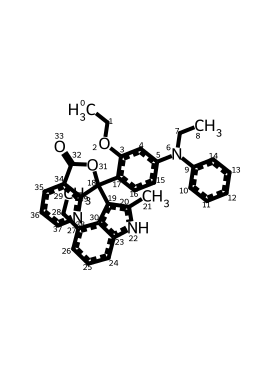 CCOc1cc(N(CC)c2ccccc2)ccc1C1(c2c(C)[nH]c3cccc(CC)c23)OC(=O)c2cccnc21